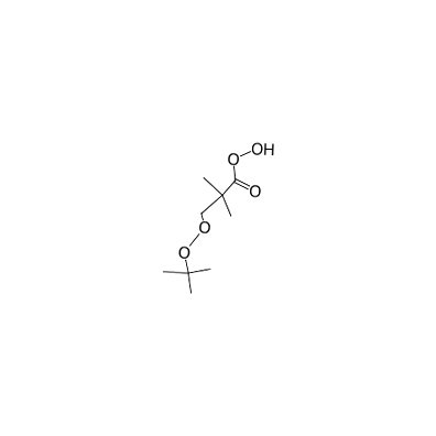 CC(C)(C)OOCC(C)(C)C(=O)OO